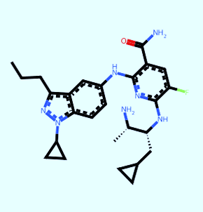 CCCc1nn(C2CC2)c2ccc(Nc3nc(N[C@H](CC4CC4)[C@H](C)N)c(F)cc3C(N)=O)cc12